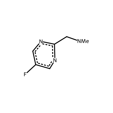 CNCc1ncc(F)cn1